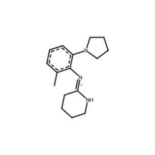 Cc1cccc(N2CCCC2)c1/N=C1\CCCCN1